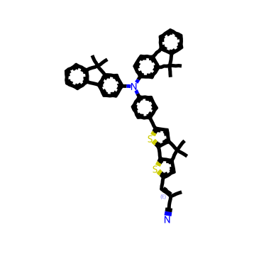 C/C(C#N)=C\c1cc2c(s1)-c1sc(-c3ccc(N(c4ccc5c(c4)C(C)(C)c4ccccc4-5)c4ccc5c(c4)C(C)(C)c4ccccc4-5)cc3)cc1C2(C)C